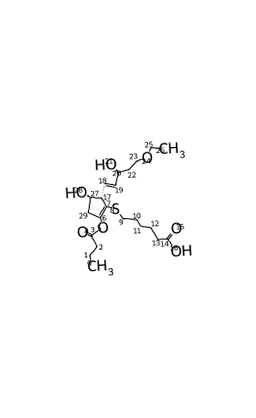 CCCC(=O)OC1=C(SCCCCCC(=O)O)[C@@H](/C=C/[C@@H](O)CCOCC)[C@H](O)C1